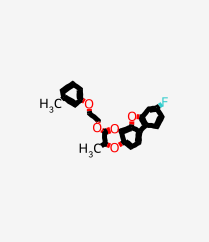 Cc1cccc(OCCOC(=O)C(C)Oc2ccc3c(c2)oc2cc(F)ccc23)c1